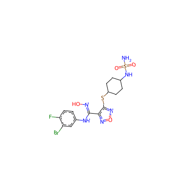 NS(=O)(=O)NC1CCC(Sc2nonc2C(=NO)Nc2ccc(F)c(Br)c2)CC1